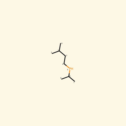 CC(C)CCPC(C)C